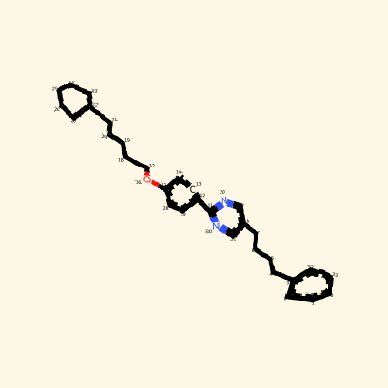 c1ccc(CCCCc2cnc(-c3ccc(OCCCCCC4CCCCC4)cc3)nc2)cc1